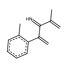 C=C(C)C(=N)C(=C)c1ccccc1C